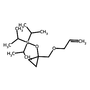 C=CCOCC1(O[Si](C(C)C)(C(C)C)C(C)C)CC1